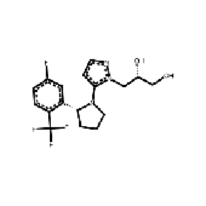 OC[C@@H](O)Cn1nccc1N1CCC[C@@H]1c1cc(F)ccc1C(F)(F)F